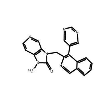 Cn1c(=O)n(Cc2ncc3ccccc3c2-c2cncnc2)c2cnccc21